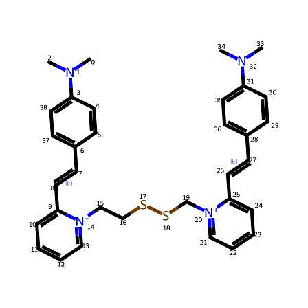 CN(C)c1ccc(/C=C/c2cccc[n+]2CCSSC[n+]2ccccc2/C=C/c2ccc(N(C)C)cc2)cc1